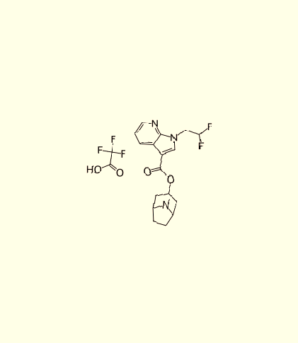 CN1C2CCC1CC(OC(=O)c1cn(CC(F)F)c3ncccc13)C2.O=C(O)C(F)(F)F